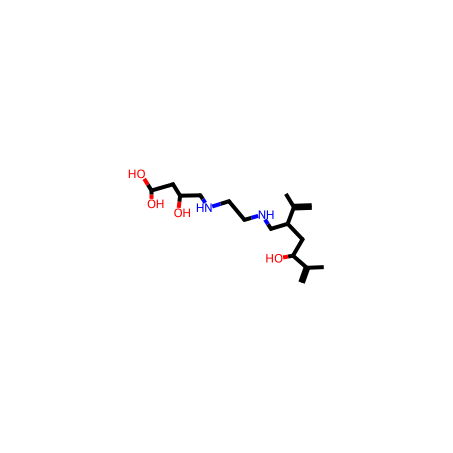 C=C(C)C(O)CC(CNCCNCC(O)CC(O)O)C(=C)C